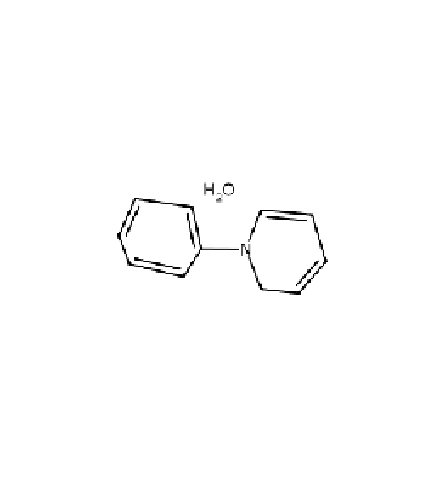 C1=CCN(c2ccccc2)C=C1.O